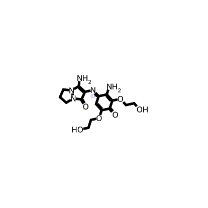 NC1=C(OCCO)C(=O)C(OCCO)=C/C1=N\c1c(N)n2n(c1=O)CCC2